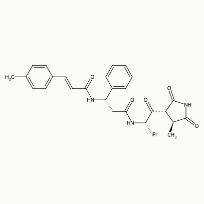 Cc1ccc(C=CC(=O)N[C@@H](CC(=O)N[C@H](C(=O)[C@@H]2C(=O)NC(=O)[C@H]2C)C(C)C)c2ccccc2)cc1